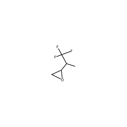 CC(C1CO1)C(F)(F)F